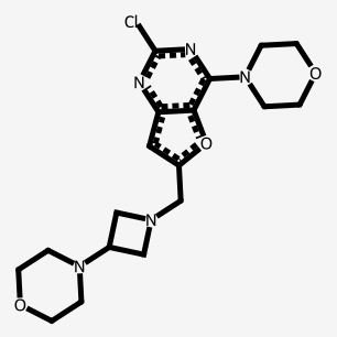 Clc1nc(N2CCOCC2)c2oc(CN3CC(N4CCOCC4)C3)cc2n1